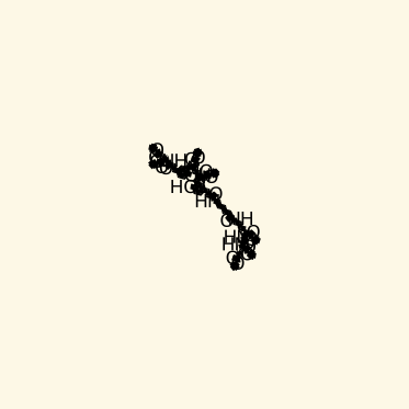 CC(C)(C)OC(=O)CC[C@H](NC(=O)N[C@@H](CCCCNC(=O)CCCCCNC(=O)CCc1ccc(O)c(CN(CCN(CC(=O)OC(C)(C)C)Cc2cc(CCC(=O)N[C@@H](CC(=O)OC(C)(C)C)C(=O)OC(C)(C)C)ccc2O)CC(=O)OC(C)(C)C)c1)C(=O)OC(C)(C)C)C(=O)OC(C)(C)C